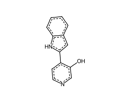 Oc1cnccc1-c1cc2ccccc2[nH]1